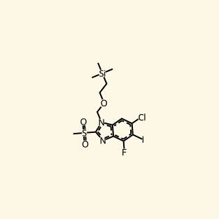 C[Si](C)(C)CCOCn1c(S(C)(=O)=O)nc2c(F)c(I)c(Cl)cc21